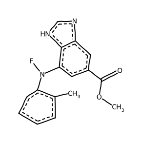 COC(=O)c1cc(N(F)c2ccccc2C)c2[nH]cnc2c1